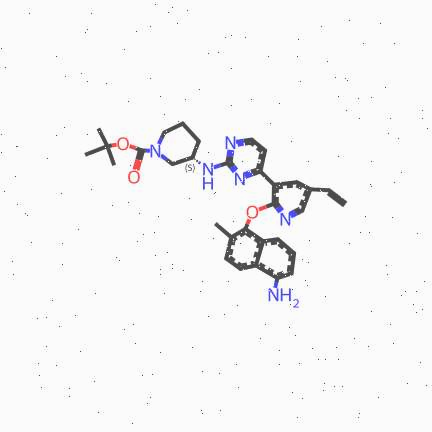 C=Cc1cnc(Oc2c(C)ccc3c(N)cccc23)c(-c2ccnc(N[C@H]3CCCN(C(=O)OC(C)(C)C)C3)n2)c1